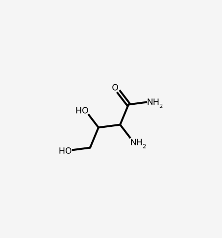 NC(=O)C(N)C(O)CO